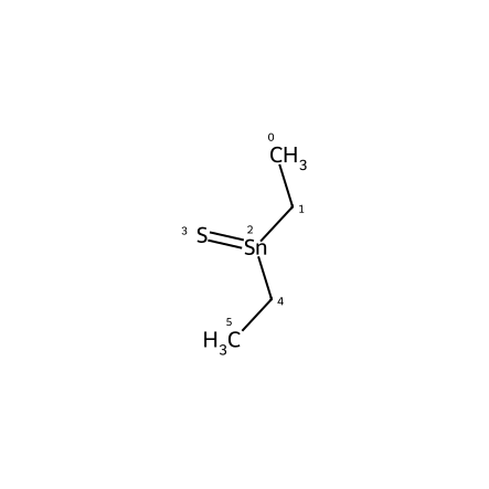 C[CH2][Sn](=[S])[CH2]C